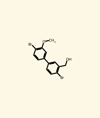 COc1cc(-c2ccc(Br)c(CO)c2)ccc1Br